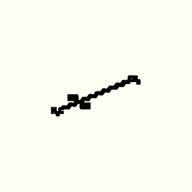 C=CC=CC=CCCCCCCCCCC(O)[C@@H](O)CCCCC